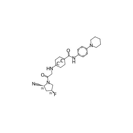 N#C[C@@H]1C[C@H](F)CN1C(=O)CNC12CCC(C(=O)Nc3ccc(N4CCCCC4)cc3)(CC1)CC2